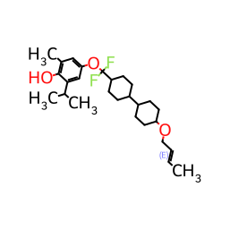 C/C=C/COC1CCC(C2CCC(C(F)(F)Oc3cc(C)c(O)c(C(C)C)c3)CC2)CC1